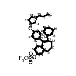 O=S(=O)(Oc1ccc2c(c1)CCCC(c1ccccc1)=C2c1ccc(O[C@H]2CCN(CCCF)C2)cc1)C(F)(F)F